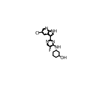 OC1CCC[C@H](Nc2nc(-c3c[nH]c4ncc(Cl)cc34)ncc2F)C1